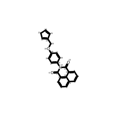 O=C1c2cccc3cccc(c23)C(=O)N1c1ccc(OCC2=CCC=C2)cc1